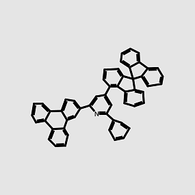 c1ccc(-c2cc(-c3cccc4c3-c3ccccc3C43c4ccccc4-c4ccccc43)cc(-c3ccc4c5ccccc5c5ccccc5c4c3)n2)cc1